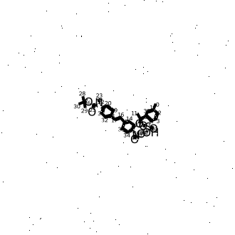 Cc1ccc(S(=O)(=O)O)c(C(C)Oc2cc(/C=C/c3ccc(N(C)C(=O)OC(C)(C)C)cc3)ccc2[N+](=O)[O-])c1